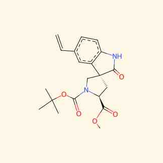 C=Cc1ccc2c(c1)[C@@]1(C[C@@H](C(=O)OC)N(C(=O)OC(C)(C)C)C1)C(=O)N2